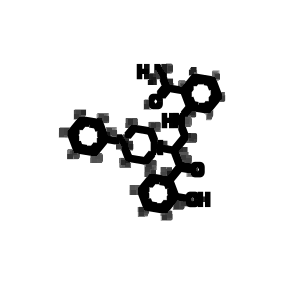 NC(=O)c1ccccc1NCC(C(=O)c1ccccc1O)N1CCN(c2ccccc2)CC1